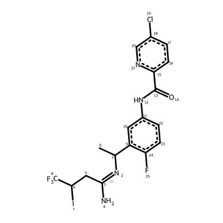 CC(/N=C(/N)CC(I)C(F)(F)F)c1cc(NC(=O)c2ccc(Cl)cn2)ccc1F